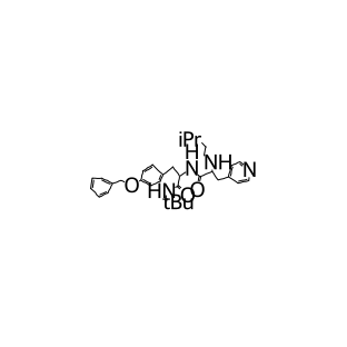 CC(C)CCNC(Cc1ccncc1)C(=O)NC(Cc1ccc(OCc2ccccc2)cc1)C(=O)NC(C)(C)C